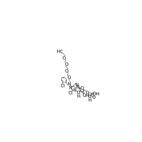 C#CCOCCOCCOCCOCCN(Cc1ccccc1Cl)c1nc(Cl)nc2c1cnn2[C@@H]1O[C@H](COCP(=O)(O)O)[C@@H](O)[C@H]1O